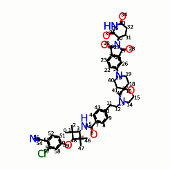 CC1(C)[C@H](NC(=O)c2ccc(CCN3CCOC4(CCN(c5ccc6c(c5)C(=O)N(C5CCC(=O)NC5=O)C6=O)CC4)C3)cc2)C(C)(C)[C@H]1Oc1ccc(C#N)c(Cl)c1